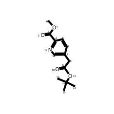 COC(=O)c1ccc(CC(=O)OC(C)(C)C)cn1